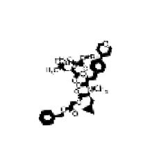 CN(C(=O)OC(C)(C)C)[C@@H](CC(C)(C)F)C(=O)OC(Cc1ccc(C2CCOCC2)cc1)C(=O)N(C)[C@@H](CC1CC1)C(=O)OCC(=O)OCc1ccccc1